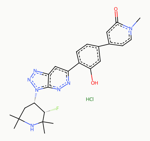 Cl.Cn1ccc(-c2ccc(-c3cc4nnn([C@H]5CC(C)(C)NC(C)(C)[C@H]5F)c4nn3)c(O)c2)cc1=O